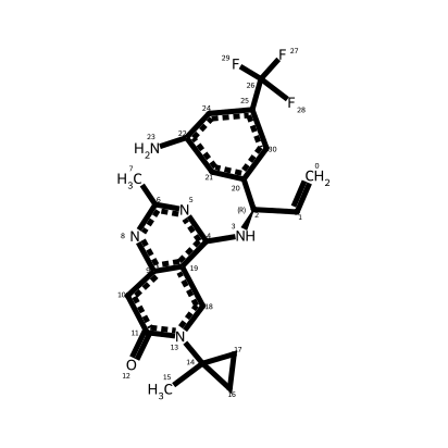 C=C[C@@H](Nc1nc(C)nc2cc(=O)n(C3(C)CC3)cc12)c1cc(N)cc(C(F)(F)F)c1